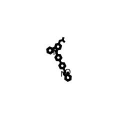 CC(C)Cc1ccc2c(c1)c1ccccc1n2-c1ccc(-c2ccc(-c3nc4ccccc4o3)cc2)cc1